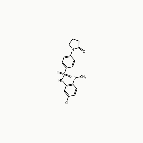 COc1ccc(Cl)cc1NS(=O)(=O)c1ccc(N2CCCC2=O)cc1